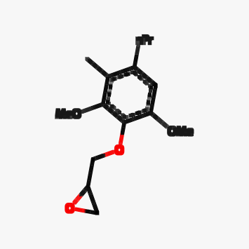 CCCc1cc(OC)c(OCC2CO2)c(OC)c1C